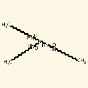 CCCCCCCCCCCCCNC(=O)CCNCCCN(CCC(=O)NCCCCCCCCCCCCC)CCC(=O)NCCCCCCCCCCCCC